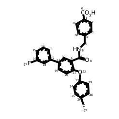 O=C(O)c1ccc(CNC(=O)c2cc(-c3cccc(F)c3)ccc2Oc2ccc(F)cc2)cc1